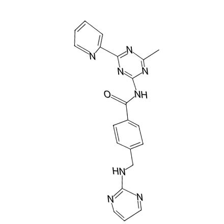 Cc1nc(NC(=O)c2ccc(CNc3ncccn3)cc2)nc(-c2ccccn2)n1